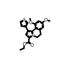 CCOC(=O)c1cc(-c2ccsc2)c2n1CCc1cc(OC)cc(OC)c1-2